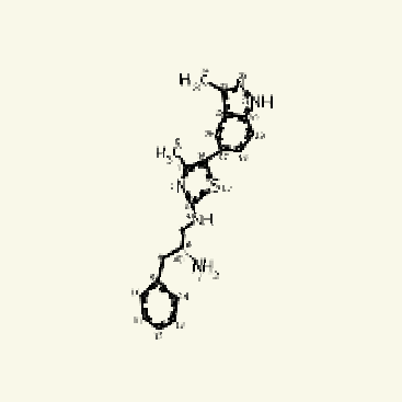 Cc1nc(NC[C@H](N)Cc2ccccc2)sc1-c1ccc2[nH]nc(C)c2c1